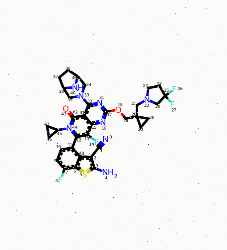 N#Cc1c(N)sc2c(F)ccc(-c3c(F)c4nc(OCC5(CN6CCC(F)(F)C6)CC5)nc(N5CC6CCC(C5)N6)c4c(=O)n3C3CC3)c12